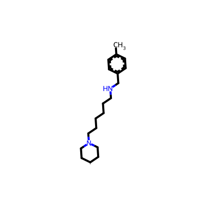 Cc1ccc(CNCCCCCCN2CC[CH]CC2)cc1